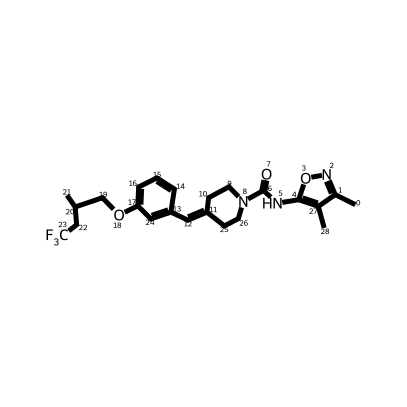 Cc1noc(NC(=O)N2CCC(=Cc3cccc(OCC(C)CC(F)(F)F)c3)CC2)c1C